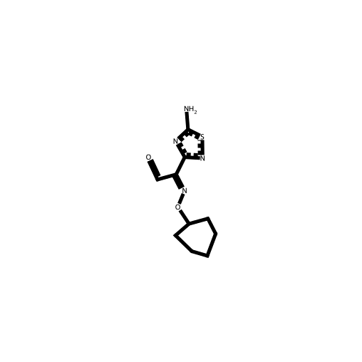 Nc1nc(C([C]=O)=NOC2CCCCC2)ns1